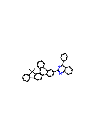 CC1(C)c2ccccc2-c2ccc3c4ccc(-c5nc(-c6ccccc6)c6ccccc6n5)cc4c4ccccc4c3c21